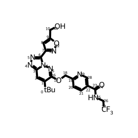 CC(C)(C)c1cc2nnc(-c3cc(CO)on3)n2nc1OCc1ccc(C(=O)NCC(F)(F)F)cn1